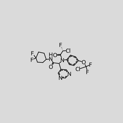 O=C(NC1CCC(F)(F)CC1)[C@H](c1cncnc1)N(C(=O)[C@H](F)Cl)c1ccc(OC(F)(F)Cl)cc1